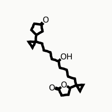 O=C1CCC(C2(CCCCC(O)CCCCC3(C4CCC(=O)O4)CC3)CC2)C1